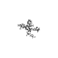 CCOCCN(C)Cc1nn(CCOCC(F)(F)F)c2c(Nc3ccncn3)nc(N3CCN[C@H](C)C3)nc12